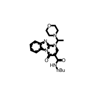 CCCCNC(=O)c1cn(C(C)N2CCOCC2)c2nc3ccccc3n2c1=O